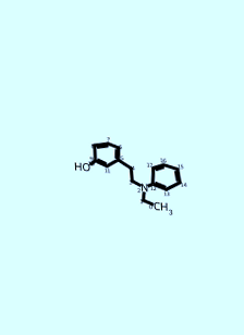 CCN(CCc1cccc(O)c1)c1ccccc1